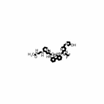 CC(=O)NCCNC1CCCn2nc(C(=O)Nc3cccc(-c4cccc(Nc5nc(C(F)F)nc6cc(CN7CC[C@@H](O)C7)cnc56)c4Cl)c3Cl)cc21